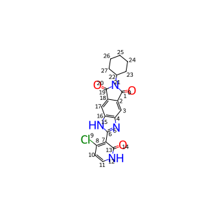 O=C1c2cc3nc(-c4c(Cl)cc[nH]c4=O)[nH]c3cc2C(=O)N1C1CCCCC1